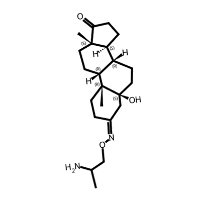 CC(N)CON=C1CC[C@]2(C)[C@@H]3CC[C@]4(C)C(=O)CC[C@H]4[C@@H]3CC[C@]2(O)C1